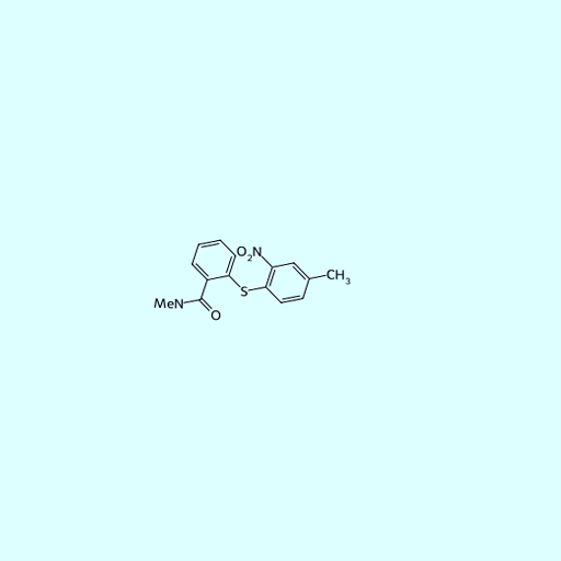 CNC(=O)c1ccccc1Sc1ccc(C)cc1[N+](=O)[O-]